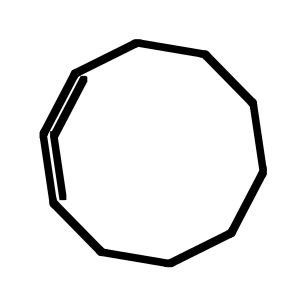 C1=CCCCCCCCC=1